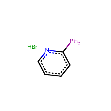 Br.Pc1ccccn1